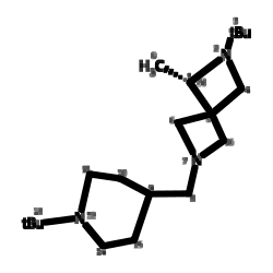 C[C@@H]1N(C(C)(C)C)CC12CN(CC1CCN(C(C)(C)C)CC1)C2